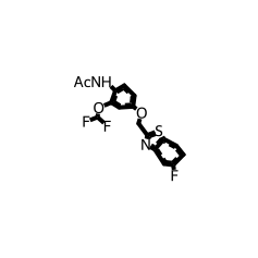 CC(=O)Nc1ccc(OCc2nc3cc(F)ccc3s2)cc1OC(F)F